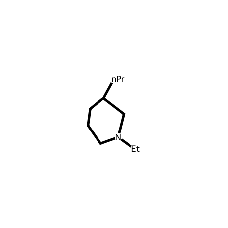 [CH2]CN1CCCC(CCC)C1